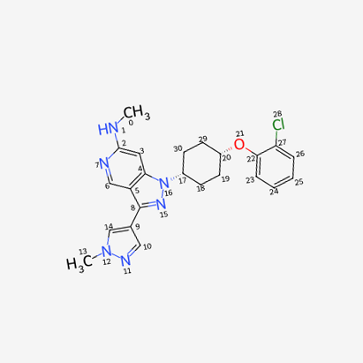 CNc1cc2c(cn1)c(-c1cnn(C)c1)nn2[C@H]1CC[C@@H](Oc2ccccc2Cl)CC1